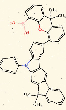 CC1(C)c2ccccc2-c2cc3c4cc(-c5cccc6c5Oc5c(B(O)O)cccc5C6(C)C)ccc4n(-c4ccccc4)c3cc21